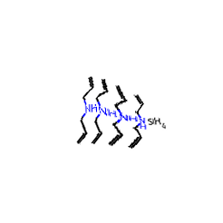 C=CCNCC=C.C=CCNCC=C.C=CCNCC=C.C=CCNCC=C.[SiH4]